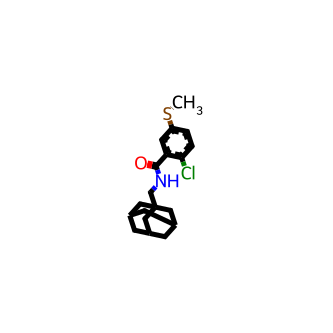 CSc1ccc(Cl)c(C(=O)NCC23CC4CC(CC(C4)C2)C3)c1